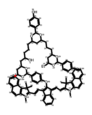 CCCC1CC(CC(O)CCCC2CC(CCCC3CC(CC)OC(c4ccc(O)cc4)O3)OC(c3ccc(O)cc3)O2)OC(c2ccc(OC3=C(/C=C/C4=[N+](C)c5ccc6ccccc6c5C4(C)C)c4ccccc4/C3=C\C=C3\N(C)c4ccc5ccccc5c4C3(C)C)cc2)O1